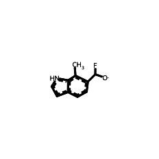 Cc1c(C([O])F)ccc2cc[nH]c12